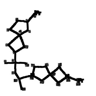 CC(C)C1CCC2(C1)CC(C(C)(C)CC(C)N1CCC3(CN(C(C)C)C3)C1)C2